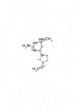 CNc1cc(N2CCC(OC)C2)nc(N)n1